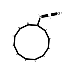 O=C=NC1CCCCCCCCCCC1